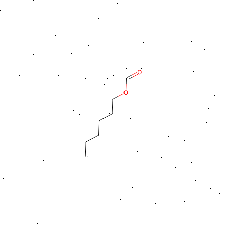 [CH2]CCCC[CH]OC=O